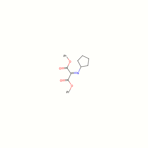 CC(C)OC(=O)C(=NC1CCCC1)C(=O)OC(C)C